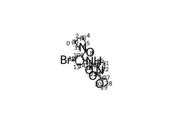 C[C@@H]1C[C@H](C)CN(C(=O)c2cc(Br)ccc2NC(=O)[C@@H]2CCCN2C(=O)C2CCCO2)C1